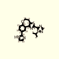 CC(C)n1ncnc1-c1nc2c(s1)CCOc1ccc(-c3ncc[nH]3)cc1-2